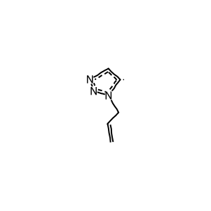 C=CCn1[c]cnn1